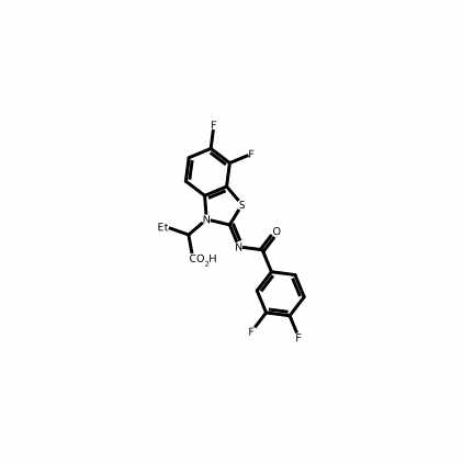 CCC(C(=O)O)n1c(=NC(=O)c2ccc(F)c(F)c2)sc2c(F)c(F)ccc21